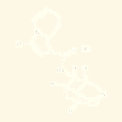 CCc1cc(C(=O)N[C@H]2[C@@H]3C[C@@H]4C[C@@H]2C[N@@](C3)C4)c2ccccn12.Cl